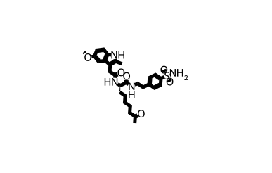 COc1ccc2[nH]c(C)c(CC(=O)N[C@@H](CCCCCC(C)=O)C(=O)NCCc3ccc(S(N)(=O)=O)cc3)c2c1